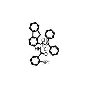 CC(C)c1ccccc1C(=O)[NH][Ti]([Cl])([Cl])([c]1cccc2c1Cc1ccccc1-2)[SiH](c1ccccc1)c1ccccc1